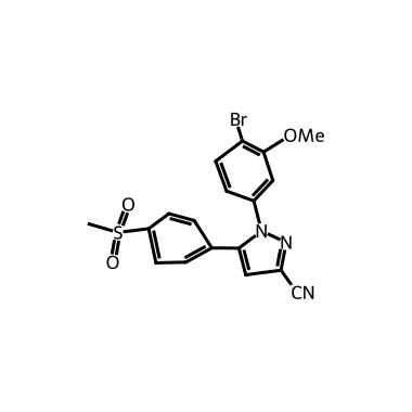 COc1cc(-n2nc(C#N)cc2-c2ccc(S(C)(=O)=O)cc2)ccc1Br